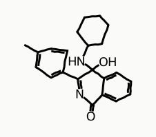 Cc1ccc(C2=NC(=O)c3ccccc3C2(O)NC2CCCCC2)cc1